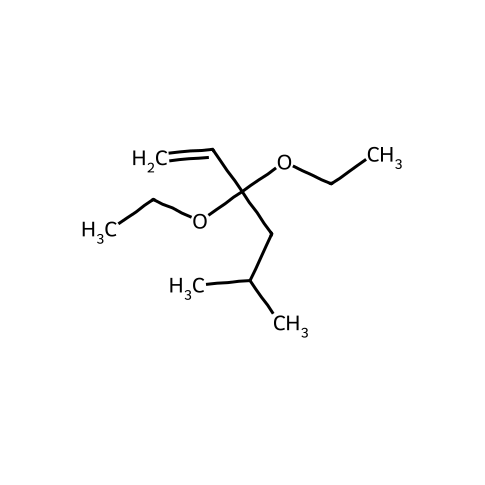 C=CC(CC(C)C)(OCC)OCC